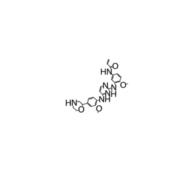 C=CC(=O)Nc1ccc(OC)c(Nc2nccc(Nc3ccc(C4CNCCO4)cc3OC)n2)c1